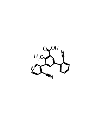 Cc1c(C(=O)O)cc(-c2ccccc2C#N)cc1-c1cnccc1C#N